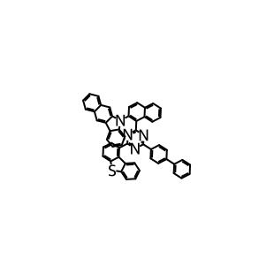 c1ccc(-c2ccc(-c3nc(-c4c(-n5c6ccccc6c6cc7ccccc7cc65)ccc5ccccc45)nc(-c4cccc5sc6ccccc6c45)n3)cc2)cc1